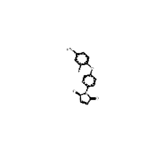 CCCc1ccc(Oc2ccc(N3C(=O)C=CC3=O)cc2)c(F)c1